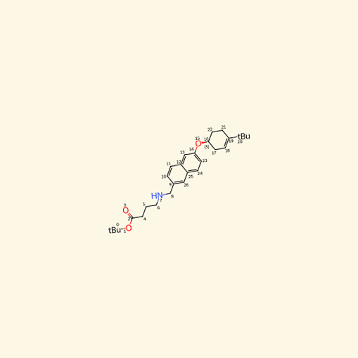 CC(C)(C)OC(=O)CCCNCc1ccc2cc(O[C@@H]3CC=C(C(C)(C)C)CC3)ccc2c1